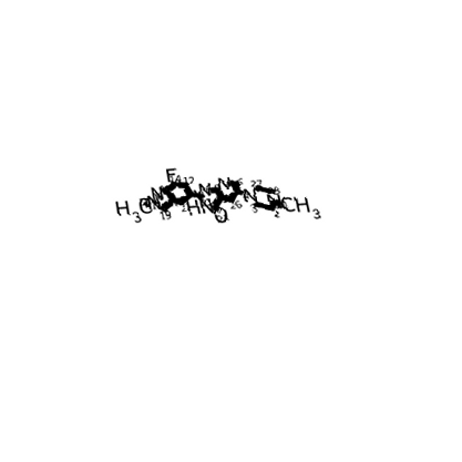 CN1CCN(c2cnc3nc(-c4cc(F)c5nn(C)cc5c4)[nH]c(=O)c3c2)CC1